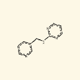 [c]1ccnc(NCc2cccnc2)n1